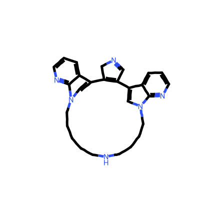 C1=NCC2=C1c1cn(c3ncccc13)CCCCNCCCCCn1cc2c2cccnc21